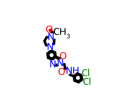 CC(=O)N1CCCN(c2ccc3ncn(CC(=O)NCc4ccc(Cl)c(Cl)c4)c(=O)c3c2)CC1